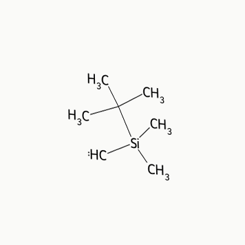 [CH][Si](C)(C)C(C)(C)C